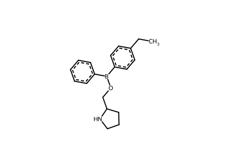 CCc1ccc(B(OCC2CCCN2)c2ccccc2)cc1